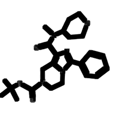 CN(C(=O)c1nc(-c2ccccc2)n2c1CN(C(=O)OC(C)(C)C)CC2)C1CCOCC1